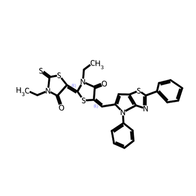 CCN1C(=O)/C(=c2\s/c(=C/c3cc4sc(-c5ccccc5)nc4n3-c3ccccc3)c(=O)n2CC)SC1=S